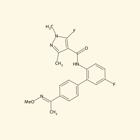 CO/N=C(\C)c1ccc(-c2cc(F)ccc2NC(=O)c2c(C)nn(C)c2F)cc1